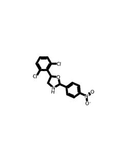 O=[N+]([O-])c1ccc(C2NCC(c3c(Cl)cccc3Cl)O2)cc1